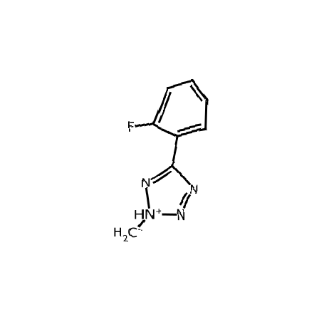 [CH2-][NH+]1N=NC(c2ccccc2F)=N1